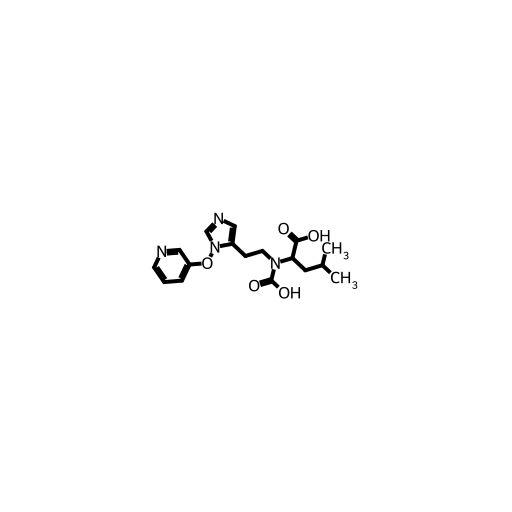 CC(C)CC(C(=O)O)N(CCc1cncn1Oc1cccnc1)C(=O)O